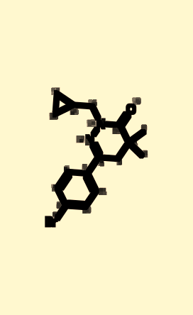 CC1(C)CC(c2ccc(Br)cc2)=NN(CC2CC2)C1=O